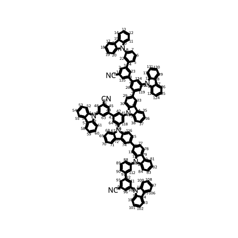 N#Cc1cc(-c2cccc(-n3c4ccccc4c4ccccc43)c2)cc(-c2cc(-c3ccc4c(c3)c3ccccc3n4-c3cc(-c4cc(C#N)cc(-n5c6ccccc6c6ccccc65)c4)cc(-n4c5ccccc5c5cc(-c6ccc7c8ccccc8n(-c8cccc(-c9cc(C#N)cc(-n%10c%11ccccc%11c%11ccccc%11%10)c9)c8)c7c6)ccc54)c3)cc(-n3c4ccccc4c4ccccc43)c2)c1